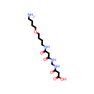 NCCCCOCCCCNC(=O)CC(=O)NCNC(=O)CC(=O)O